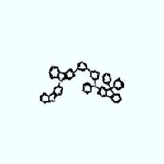 c1ccc(N(c2cccc(-c3cccc(-c4ccc5c(c4)c4ccccc4n5-c4ccc5oc6ccccc6c5c4)c3)c2)c2ccc3c(c2)C(c2ccccc2)(c2ccccc2)c2ccccc2-3)cc1